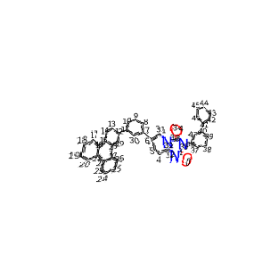 O=c1nc2ccc(-c3cccc(-c4ccc5c6ccccc6c6ccccc6c5c4)c3)cn2c(=O)n1-c1cccc(-c2ccccc2)c1